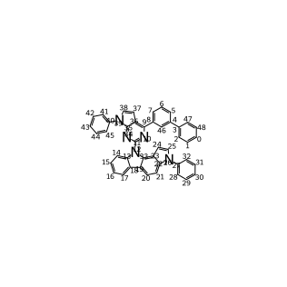 c1ccc(-c2cccc(-c3nc(-n4c5ccccc5c5ccc6c(ccn6-c6ccccc6)c54)nc4c3ccn4-c3ccccc3)c2)cc1